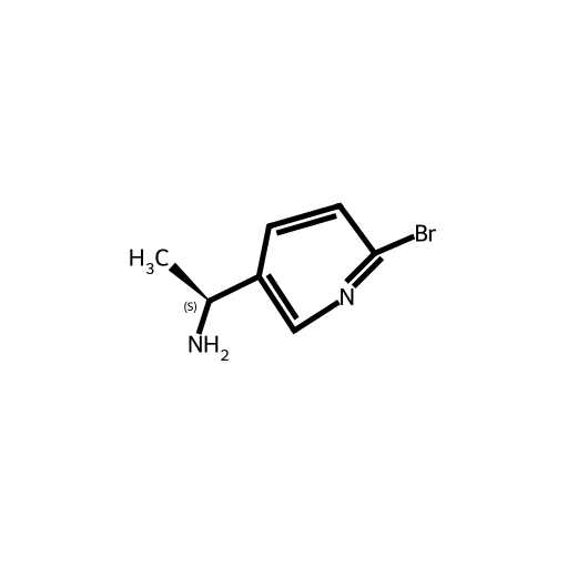 C[C@H](N)c1ccc(Br)nc1